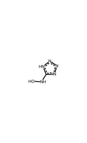 ONc1nnn[nH]1